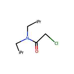 CC(C)CN(CC(C)C)C(=O)CCl